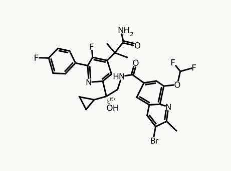 Cc1nc2c(OC(F)F)cc(C(=O)NC[C@](O)(c3cc(C(C)(C)C(N)=O)c(F)c(-c4ccc(F)cc4)n3)C3CC3)cc2cc1Br